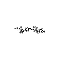 COCCN/C=C(\C=N)c1ccc(CNc2cc(-c3cnc4cc(OC)ccn34)ncn2)cc1